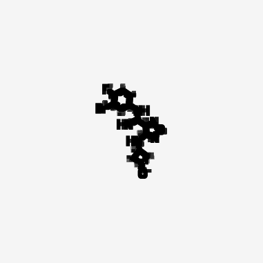 N=C(Nc1ccc(F)c(Br)c1)c1nonc1NC1C[S+]([O-])C1